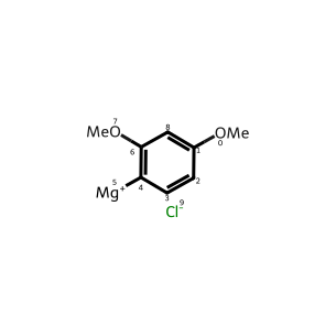 COc1cc[c]([Mg+])c(OC)c1.[Cl-]